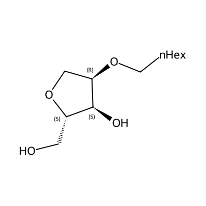 CCCCCCCO[C@@H]1CO[C@@H](CO)[C@@H]1O